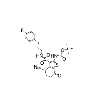 CC(C)(C)OC(=O)Nc1sc2c(c1S(=O)(=O)NCCCc1ccc(F)cc1)C(C#N)CCC2=O